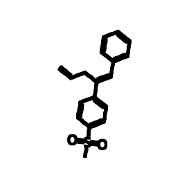 C=CC/C(=C\c1ccccc1)c1ccc(S(C)(=O)=O)cc1